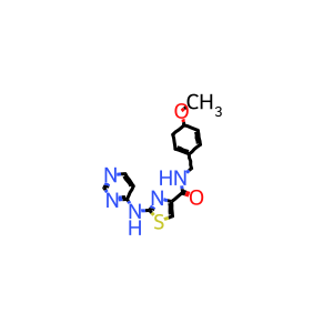 COC1C=CC(CNC(=O)c2csc(Nc3ccncn3)n2)=CC1